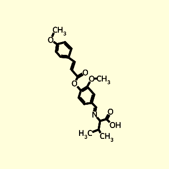 COc1ccc(/C=C/C(=O)Oc2ccc(/C=N/C(C(=O)O)C(C)C)cc2OC)cc1